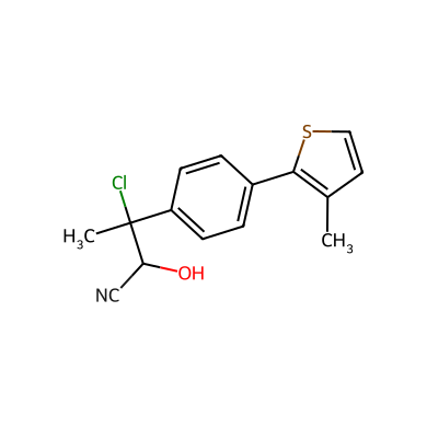 Cc1ccsc1-c1ccc(C(C)(Cl)C(O)C#N)cc1